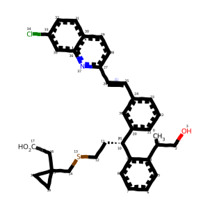 CC(CO)c1ccccc1[C@H](CCSCC1(CC(=O)O)CC1)c1cccc(/C=C/c2ccc3ccc(Cl)cc3n2)c1